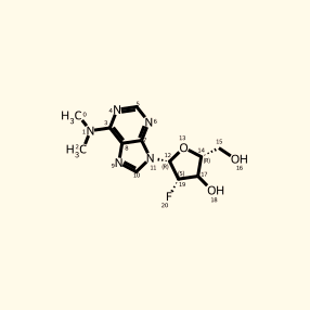 CN(C)c1ncnc2c1ncn2[C@@H]1O[C@H](CO)C(O)[C@@H]1F